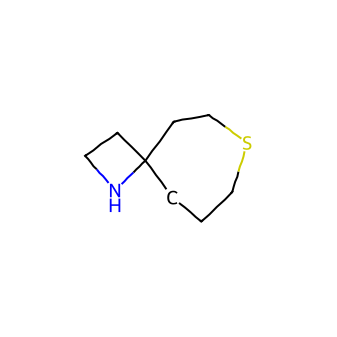 C1CSCCC2(C1)CCN2